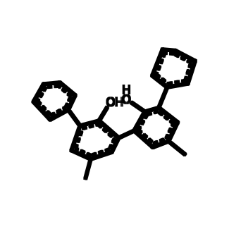 Cc1cc(-c2ccccc2)c(O)c(-c2cc(C)cc(-c3ccccc3)c2O)c1